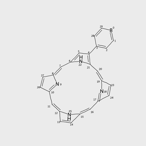 b1ccc(-c2cc3cc4nc(cc5ccc(cc6nc(cc2[nH]3)C=C6)[nH]5)C=C4)cc1